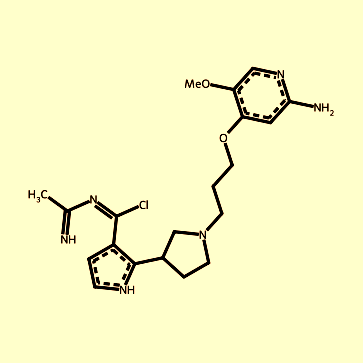 COc1cnc(N)cc1OCCCN1CCC(c2[nH]ccc2/C(Cl)=N\C(C)=N)C1